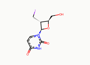 O=c1ccn([C@@H]2O[C@H](CO)[C@H]2CI)c(=O)[nH]1